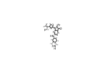 CC(C)n1c(=O)c2cnc(Nc3ccc4c(c3)CCNC4)nc2n1-c1nc(C2(CF)CC2)co1